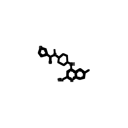 Cc1ccc2nc(C(C)(C)C)cc(NC3CCC(N(C)C(=O)c4ccoc4)CC3)c2c1